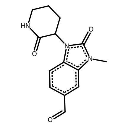 Cn1c(=O)n(C2CCCNC2=O)c2ccc(C=O)cc21